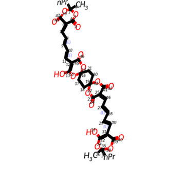 CCCC1(C)OC(=O)C(=C/C=C/C=C/C2=C(O)OC3(CCC4(CC3)OC(=O)C(=C/C=C/C=C/C3=C(O)OC(C)(CCC)OC3=O)C(=O)O4)OC2=O)C(=O)O1